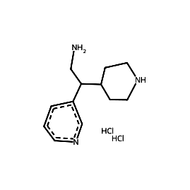 Cl.Cl.NCC(c1cccnc1)C1CCNCC1